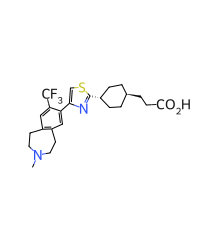 CN1CCc2cc(-c3csc([C@H]4CC[C@H](CCC(=O)O)CC4)n3)c(C(F)(F)F)cc2CC1